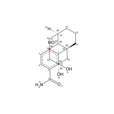 NC(=O)c1ccc2c(c1O)[C@]13CCC[C@H](C2)[C@]1(O)CC[C@@H](O)C3